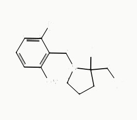 COc1cccc(Br)c1CN1CCCC1(I)CO